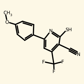 COc1ccc(-c2cc(C(F)(F)F)c(C#N)c(S)n2)cc1